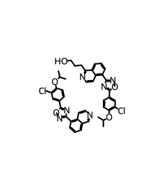 CC(C)Oc1ccc(-c2nc(-c3cccc4c(CCCO)nccc34)no2)cc1Cl.CC(C)Oc1ccc(-c2nc(-c3cccc4cnccc34)no2)cc1Cl